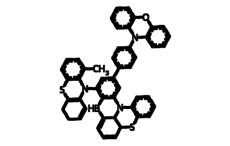 Cc1cccc2c1N(c1cc(-c3ccc(N4c5ccccc5Oc5ccccc54)cc3)cc3c1BC1=CC=CC4Sc5ccccc5N3C14)C1=C(CCC=C1)S2